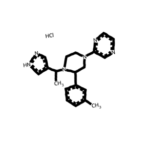 Cc1cccc(C2CN(c3cnccn3)CCN2C(C)c2cn[nH]c2)c1.Cl